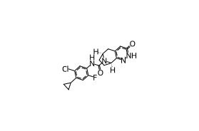 O=C(Nc1cc(Cl)c(C2CC2)cc1F)N1[C@H]2CC[C@@H]1c1n[nH]c(=O)cc1C2